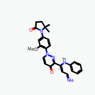 COc1cc(N2C(=O)CCC2(C)C)ccc1-n1ccc(=O)c(/C(=C/C=N)Nc2ccccc2)n1